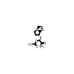 NC(=O)O[C@@H](C[C@@H]1CCn2cnnc21)C(N)=O